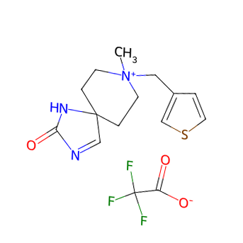 C[N+]1(Cc2ccsc2)CCC2(C=NC(=O)N2)CC1.O=C([O-])C(F)(F)F